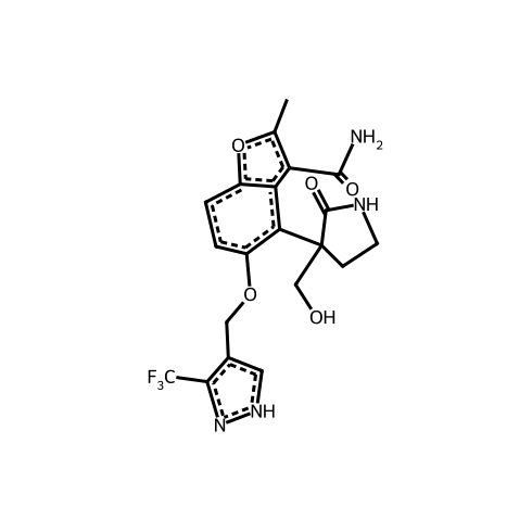 Cc1oc2ccc(OCc3c[nH]nc3C(F)(F)F)c(C3(CO)CCNC3=O)c2c1C(N)=O